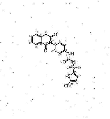 O=C(Nc1ccc(N2C(=O)Cc3ccccc3C2=O)nc1)NS(=O)(=O)c1ccc(Cl)s1